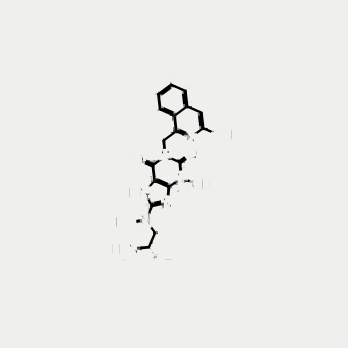 Cc1cc2ccccc2c(Cn2c(=O)c3[nH]c(N(C)C[C@H](C)N)nc3n(C)c2=O)n1